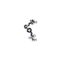 O=C(/C=C/c1ccc([C@@H]2CCCN2CCc2nn[nH]n2)cc1)NO